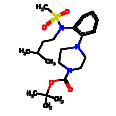 CC(C)CCN(c1ccccc1N1CCN(C(=O)OC(C)(C)C)CC1)S(C)(=O)=O